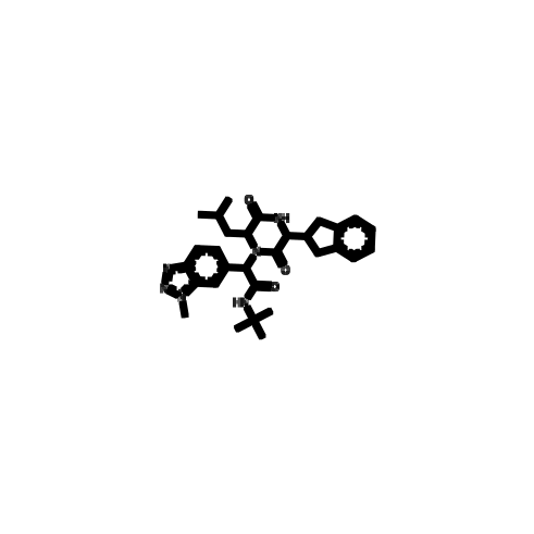 CC(C)CC1C(=O)NC(C2Cc3ccccc3C2)C(=O)N1C(C(=O)NC(C)(C)C)c1ccc2nnn(C)c2c1